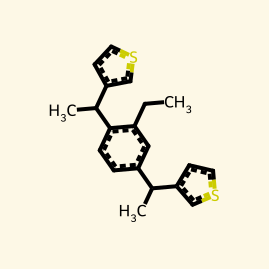 CCc1cc(C(C)c2ccsc2)ccc1C(C)c1ccsc1